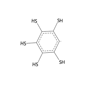 Sc1[c]c(S)c(S)c(S)c1S